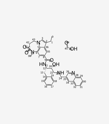 CCc1cn2c3c(cc(C(=O)N[C@@H](Cc4ccccc4)[C@H](O)CNCc4cnc5ccccc5c4)cc13)N(C)S(=O)(=O)CC2.O=CO